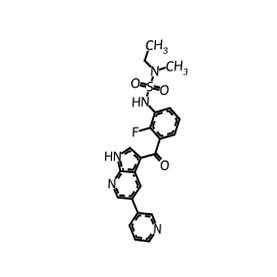 CCN(C)S(=O)(=O)Nc1cccc(C(=O)c2c[nH]c3ncc(-c4cccnc4)cc23)c1F